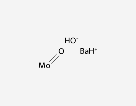 [BaH+].[OH-].[O]=[Mo]